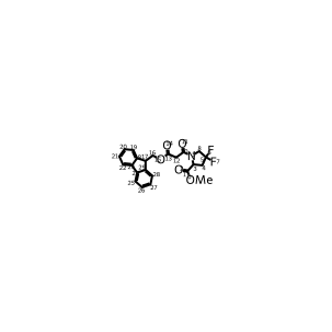 COC(=O)C1CC(F)(F)CN1C(=O)CC(=O)OCC1c2ccccc2-c2ccccc21